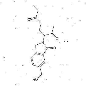 CCC(=O)CCC(C(C)=O)N1Cc2ccc(CO)cc2C1=O